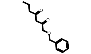 CCCC(=O)CC(=O)COCc1ccccc1